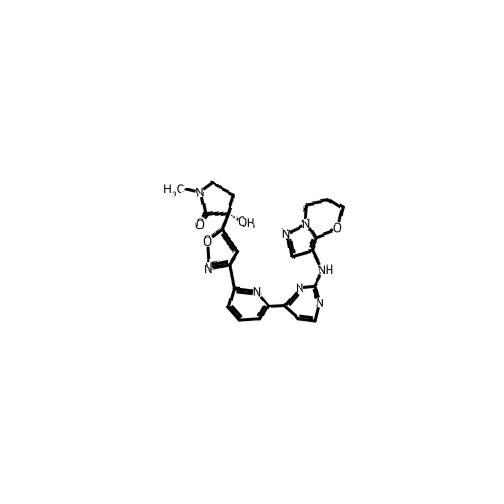 CN1CC[C@@](O)(c2cc(-c3cccc(-c4ccnc(Nc5cnn6c5OCCC6)n4)n3)no2)C1=O